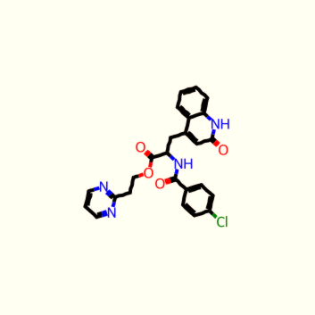 O=C(NC(Cc1cc(=O)[nH]c2ccccc12)C(=O)OCCc1ncccn1)c1ccc(Cl)cc1